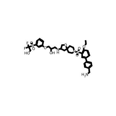 CCOc1ccc(-c2ccc(CN)cc2)cc1S(=O)(=O)N1CCC2(CC1)CC(NCC(O)COc1cccc(S(=O)(=O)C(F)(F)CO)c1)CO2